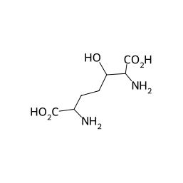 NC(CCC(O)C(N)C(=O)O)C(=O)O